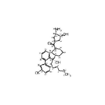 COCCCC[C@@](O)(c1ccccc1-c1cccc(Cl)c1)C1CCCN(C(=O)N2C[C@@H](N)[C@@H](O)C2)C1